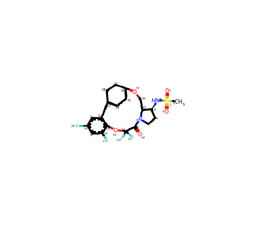 CS(=O)(=O)N[C@H]1CCN2C(=O)C(F)(F)Oc3c(F)cc(F)cc3C3CCC(CC3)OCC12